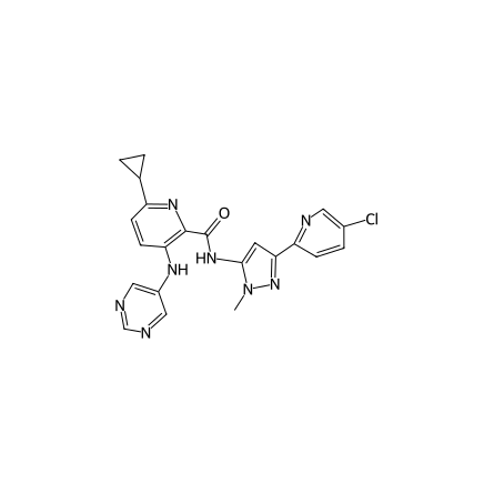 Cn1nc(-c2ccc(Cl)cn2)cc1NC(=O)c1nc(C2CC2)ccc1Nc1cncnc1